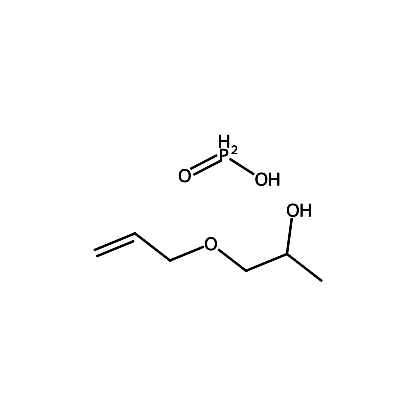 C=CCOCC(C)O.O=[PH2]O